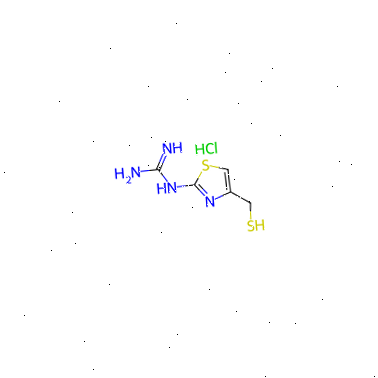 Cl.N=C(N)Nc1nc(CS)cs1